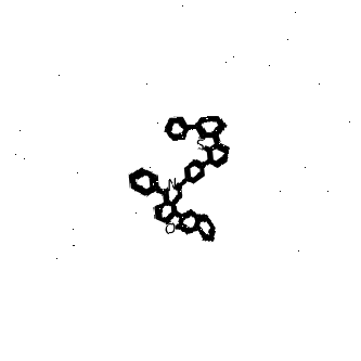 c1ccc(-c2nc(-c3ccc(-c4cccc5c4sc4c(-c6ccccc6)cccc45)cc3)cc3c2ccc2oc4cc5ccccc5cc4c23)cc1